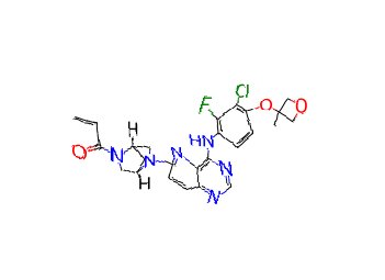 C=CC(=O)N1C[C@@H]2C[C@H]1CN2c1ccc2ncnc(Nc3ccc(OC4(C)COC4)c(Cl)c3F)c2n1